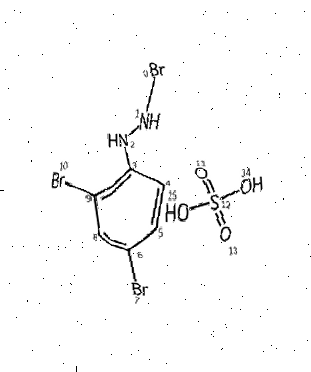 BrNNc1ccc(Br)cc1Br.O=S(=O)(O)O